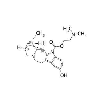 CC[C@H]1C[C@H]2C[C@H]3c4c(c5cc(O)ccc5n4C(=O)OCCN(C)C)CCN(C2)C13